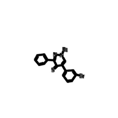 CCn1cc(-c2cccc(Br)c2)c(=S)c(-c2ccccc2)n1